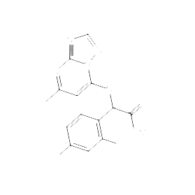 COC(=O)C(Nc1cc(C)nc2ncnn12)c1ccc(C(F)(F)F)cc1Cl